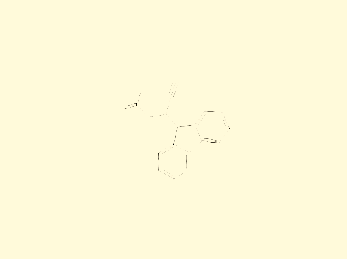 C#CC(OC(=O)Cl)C1c2ccccc2-c2ccccc21